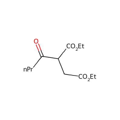 CCCC(=O)C(CC(=O)OCC)C(=O)OCC